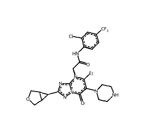 CCc1c(N2CCNCC2)c(=O)n2nc(C3C4COCC43)nc2n1CC(=O)Nc1ccc(C(F)(F)F)cc1Cl